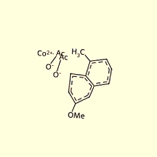 CC(=O)[O-].CC(=O)[O-].COc1ccc2c(C)cccc2c1.[Co+2]